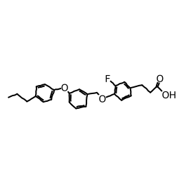 CCCc1ccc(Oc2cccc(COc3ccc(CCC(=O)O)cc3F)c2)cc1